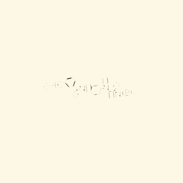 CC(C)(C)NC(=O)CN[C@H]1CC[C@@H](CNC(=O)c2cccc(C=O)c2)CC1